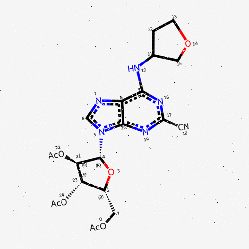 CC(=O)OC[C@H]1O[C@@H](n2cnc3c(NC4CCOC4)nc(C#N)nc32)[C@H](OC(C)=O)[C@H]1OC(C)=O